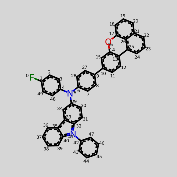 Fc1ccc(N(c2ccc(-c3ccc4c(c3)Oc3cccc5cccc-4c35)cc2)c2ccc3c(c2)c2ccccc2n3-c2ccccc2)cc1